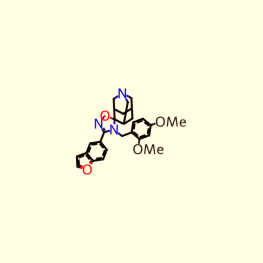 COc1ccc(CN2C(c3ccc4occc4c3)=NOC23C2CC4CC3CN(C4)C2)c(OC)c1